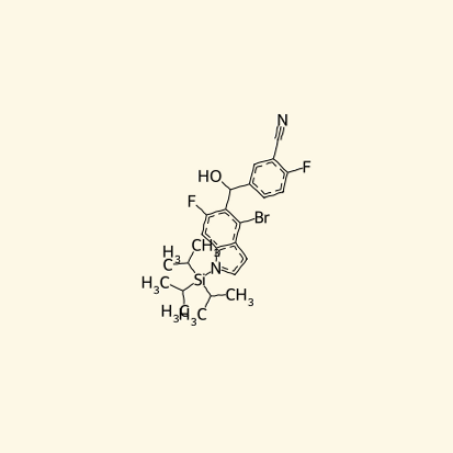 CC(C)[Si](C(C)C)(C(C)C)n1ccc2c(Br)c(C(O)c3ccc(F)c(C#N)c3)c(F)cc21